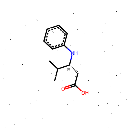 CC(C)[C@@H](CC(=O)O)Nc1ccccc1